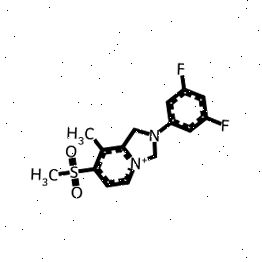 Cc1c(S(C)(=O)=O)cc[n+]2c1CN(c1cc(F)cc(F)c1)C2